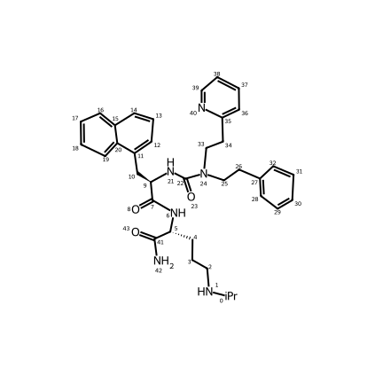 CC(C)NCCC[C@@H](NC(=O)[C@@H](Cc1cccc2ccccc12)NC(=O)N(CCc1ccccc1)CCc1ccccn1)C(N)=O